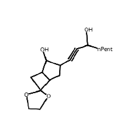 CCCCCC(O)C#CC1CC2C(CC23OCCO3)C1O